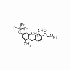 CCOCOc1ccc(Cc2c(C)cc(O[Si](C(C)C)(C(C)C)C(C)C)cc2C)cc1C=O